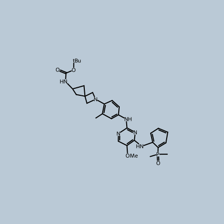 COc1cnc(Nc2ccc(N3CC4(CC(NC(=O)OC(C)(C)C)C4)C3)c(C)c2)nc1Nc1ccccc1P(C)(C)=O